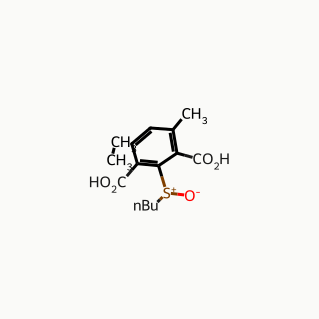 CC.CCCC[S+]([O-])c1c(C(=O)O)ccc(C)c1C(=O)O